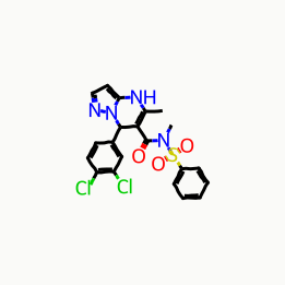 CC1=C(C(=O)N(C)S(=O)(=O)c2ccccc2)C(c2ccc(Cl)c(Cl)c2)n2nccc2N1